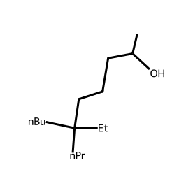 CCCCC(CC)(CCC)CCCC(C)O